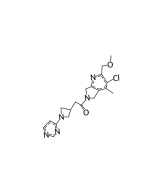 COCc1nc2c(c(C)c1Cl)CN(C(=O)CC1CN(c3ccncn3)C1)C2